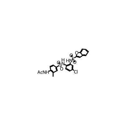 CC(=O)Nc1ccc(S(=O)(=O)Nc2ccc(Cl)cc2NS(=O)(=O)c2cc3ccccc3o2)cc1C